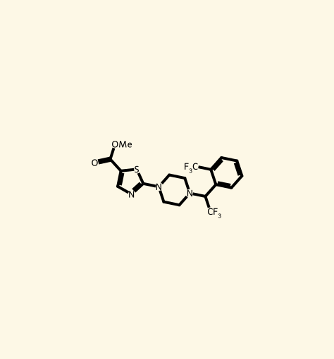 COC(=O)c1cnc(N2CCN(C(c3ccccc3C(F)(F)F)C(F)(F)F)CC2)s1